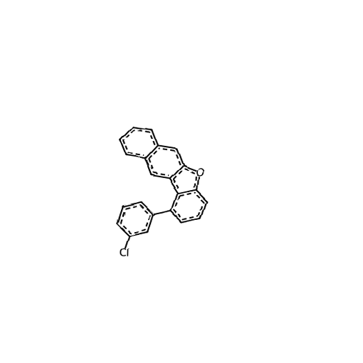 Clc1cccc(-c2cccc3oc4cc5ccccc5cc4c23)c1